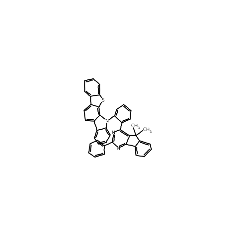 CC1(C)c2ccccc2-c2nc(-c3ccccc3)nc(-c3ccccc3-n3c4ccccc4c4ccc5c6ccccc6sc5c43)c21